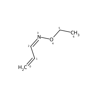 C=C/C=N\OCC